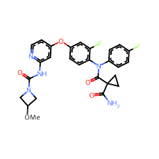 COC1CN(C(=O)Nc2cc(Oc3ccc(N(C(=O)C4(C(N)=O)CC4)c4ccc(F)cc4)c(F)c3)ccn2)C1